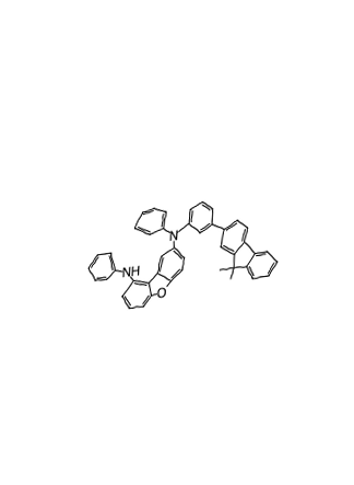 CC1(C)c2ccccc2-c2ccc(-c3cccc(N(c4ccccc4)c4ccc5oc6cccc(Nc7ccccc7)c6c5c4)c3)cc21